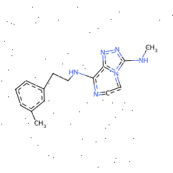 CNc1nnc2c(NCCc3cccc(C)c3)nccn12